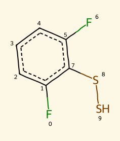 Fc1cccc(F)c1SS